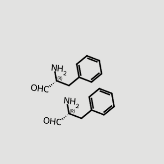 N[C@@H](C=O)Cc1ccccc1.N[C@@H](C=O)Cc1ccccc1